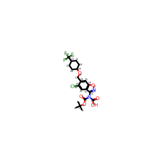 CC(C)(C)OC(=O)N(C(=O)O)c1noc2cc(COC3CCC(C(F)(F)F)CC3)c(Cl)cc12